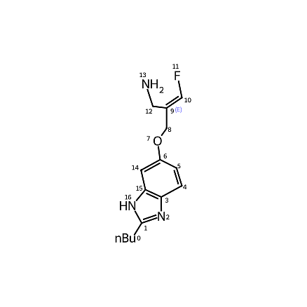 CCCCc1nc2ccc(OC/C(=C/F)CN)cc2[nH]1